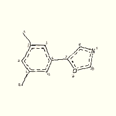 Cc1cc(C)cc(-c2cn[c]o2)c1